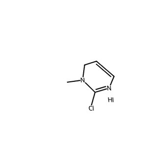 CN1CC=CN=C1Cl.I